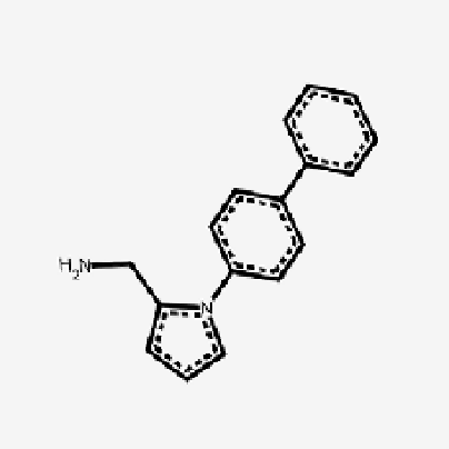 NCc1cccn1-c1ccc(-c2ccccc2)cc1